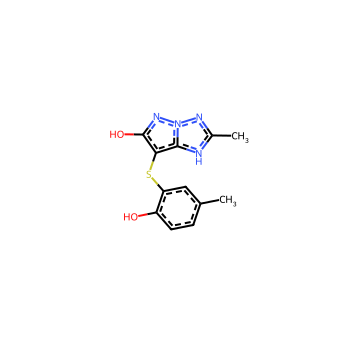 Cc1ccc(O)c(Sc2c(O)nn3nc(C)[nH]c23)c1